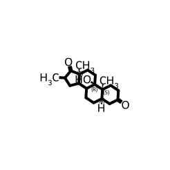 CC1CC2C3CC[C@@H]4CC(=O)CC[C@]4(C)[C@@]3(O)CC[C@]2(C)C1=O